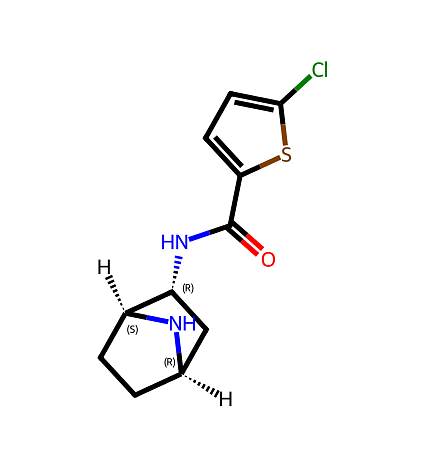 O=C(N[C@@H]1C[C@H]2CC[C@@H]1N2)c1ccc(Cl)s1